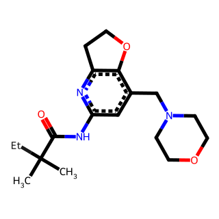 CCC(C)(C)C(=O)Nc1cc(CN2CCOCC2)c2c(n1)CCO2